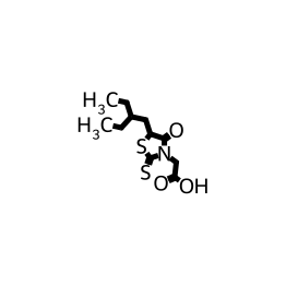 CCC(CC)CC1SC(=S)N(CC(=O)O)C1=O